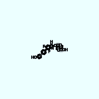 O[C@@H]1CCN(c2ccc(-c3c(F)cc4[nH]c(O[C@@H]5CO[C@H]6[C@@H]5OC[C@H]6O)nc4c3F)cc2)C1